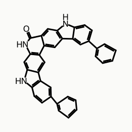 O=c1[nH]c2cc3[nH]c4ccc(-c5ccccc5)cc4c3cc2c2cc3c(cc12)[nH]c1ccc(-c2ccccc2)cc13